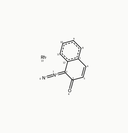 [N-]=[N+]=C1C(=O)C=Cc2ccccc21.[Rh]